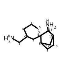 NCC1CCC[C@@]2(C1)C1CCC(C1)C2N